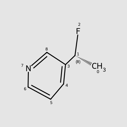 C[C@@H](F)c1cccnc1